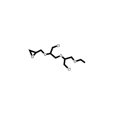 CCOCC(CCl)OCC(CCl)OCC1CO1